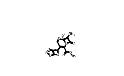 CC(C)OC(=O)C1=C(C2Sc3nnsc32)CS[C@H]2C(N)C(=O)N12